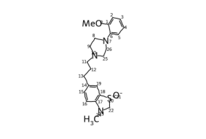 COc1ccccc1N1CCN(CCCc2ccc3c(c2)[S+]([O-])CN3C)CC1